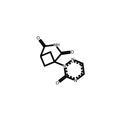 O=C1NC(=O)C2(n3nccnc3=O)CC1C2